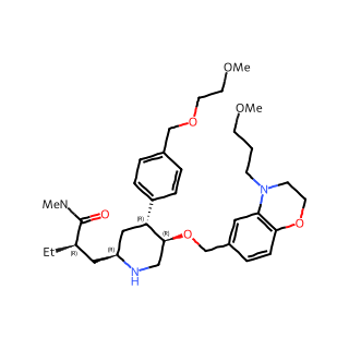 CC[C@H](C[C@H]1C[C@H](c2ccc(COCCOC)cc2)[C@@H](OCc2ccc3c(c2)N(CCCOC)CCO3)CN1)C(=O)NC